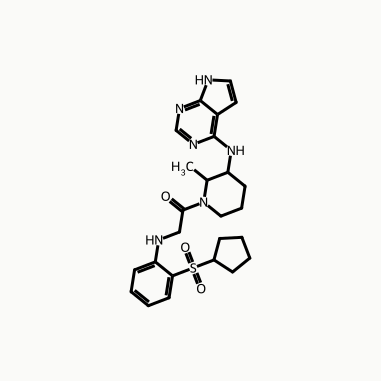 CC1C(Nc2ncnc3[nH]ccc23)CCCN1C(=O)CNc1ccccc1S(=O)(=O)C1CCCC1